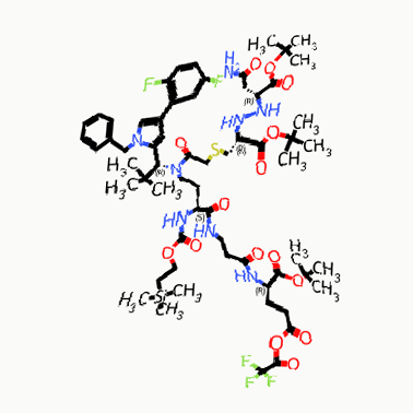 CC(C)(C)OC(=O)[C@H](CSCC(=O)N(CC[C@H](NC(=O)OCC[Si](C)(C)C)C(=O)NCCC(=O)N[C@H](CCC(=O)OC(=O)C(F)(F)F)C(=O)OC(C)(C)C)[C@@H](c1cc(-c2cc(F)ccc2F)cn1Cc1ccccc1)C(C)(C)C)NN[C@H](CC(N)=O)C(=O)OC(C)(C)C